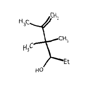 C=C(C)C(C)(C)C(O)CC